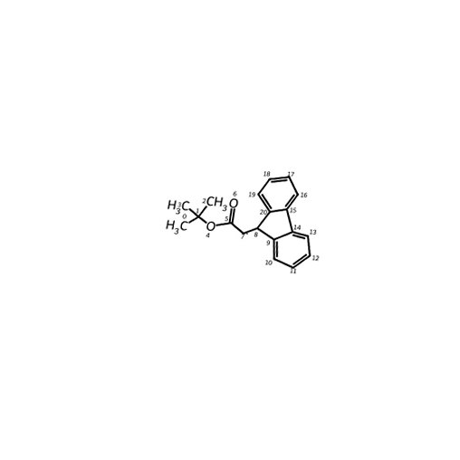 CC(C)(C)OC(=O)[CH]C1c2ccccc2-c2ccccc21